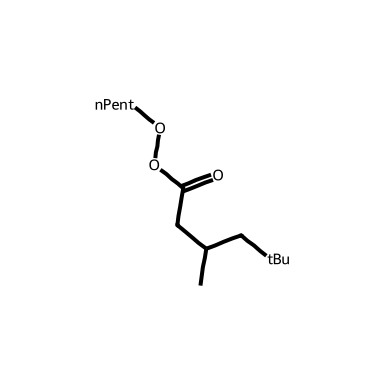 CCCCCOOC(=O)CC(C)CC(C)(C)C